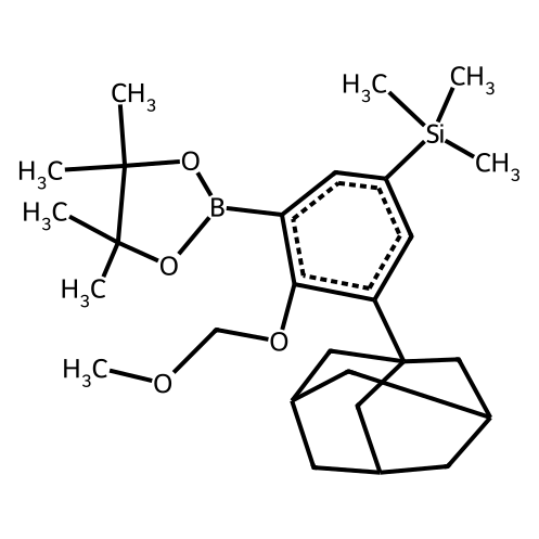 COCOc1c(B2OC(C)(C)C(C)(C)O2)cc([Si](C)(C)C)cc1C12CC3CC(CC(C3)C1)C2